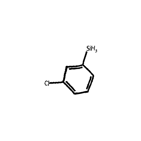 [SiH3]c1cccc(Cl)c1